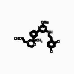 COc1nc(NCCc2ccc(Cl)cc2Cl)cc(-c2cccc(C3(C)CN(CCC=O)CCO3)c2)n1